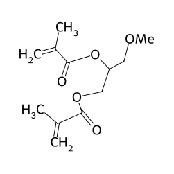 C=C(C)C(=O)OCC(COC)OC(=O)C(=C)C